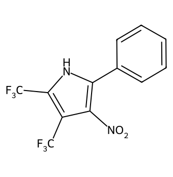 O=[N+]([O-])c1c(-c2ccccc2)[nH]c(C(F)(F)F)c1C(F)(F)F